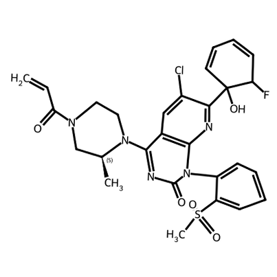 C=CC(=O)N1CCN(c2nc(=O)n(-c3ccccc3S(C)(=O)=O)c3nc(C4(O)C=CC=CC4F)c(Cl)cc23)[C@@H](C)C1